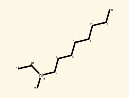 CCCCC[CH]CCN(C)CC